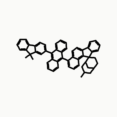 CC1CC2CCC3(c4ccccc4-c4ccc5c(-c6c7ccccc7c(-c7ccc8c(c7)C(C)(C)c7ccccc7-8)c7ccccc67)cccc5c43)C(C1)C2